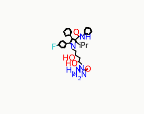 CC(C)c1c(C(=O)Nc2ccccc2)c(-c2ccccc2)c(-c2ccc(F)cc2)n1CCC(O)CC(O)CN(N)C(N)=O